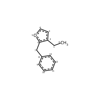 CCc1ccoc1Cc1ccccc1